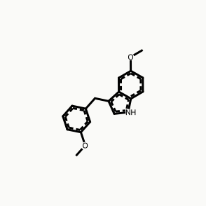 COc1cccc(Cc2c[nH]c3ccc(OC)cc23)c1